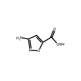 COC(=O)c1cc(N)no1